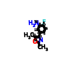 Cc1nc(-c2ccc(F)c(N)c2)c(C)o1